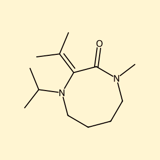 CC(C)=C1C(=O)N(C)CCCCN1C(C)C